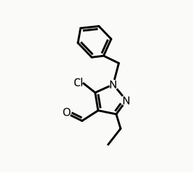 CCc1nn(Cc2ccccc2)c(Cl)c1C=O